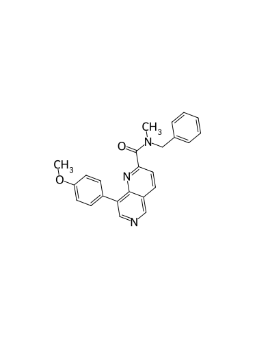 COc1ccc(-c2cncc3ccc(C(=O)N(C)Cc4ccccc4)nc23)cc1